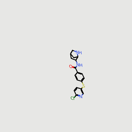 O=C(NC1CC2CNC1C2)c1ccc(Sc2ccc(Cl)nc2)cc1